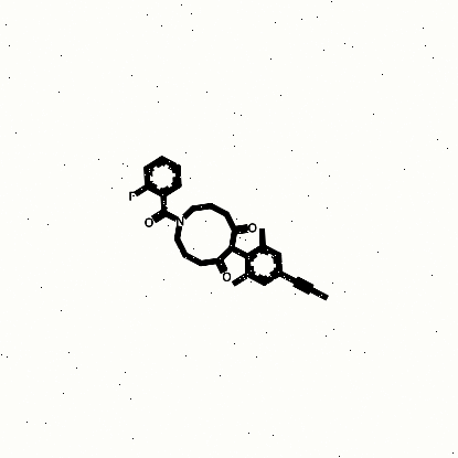 CC#Cc1cc(C)c(C2C(=O)CCCN(C(=O)c3ccccc3F)CCCC2=O)c(C)c1